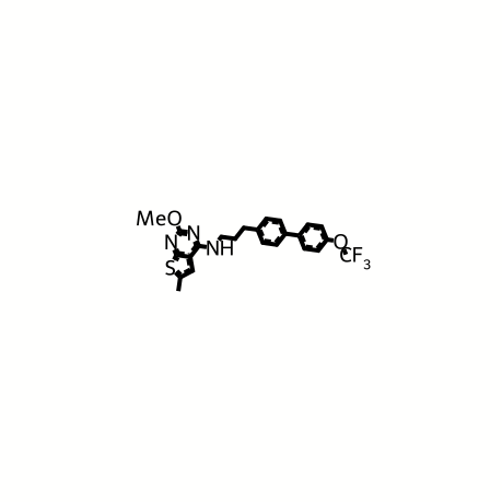 COc1nc(NCCCc2ccc(-c3ccc(OC(F)(F)F)cc3)cc2)c2cc(C)sc2n1